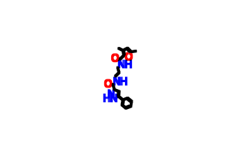 Cc1cc(C)c(C(=O)NCCCNC(=O)c2cc(-c3ccccc3)[nH]n2)o1